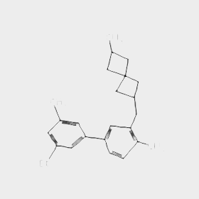 CCc1cc(C)cc(-c2ccc(C)c(CC3CC4(CC(C)C4)C3)c2)c1